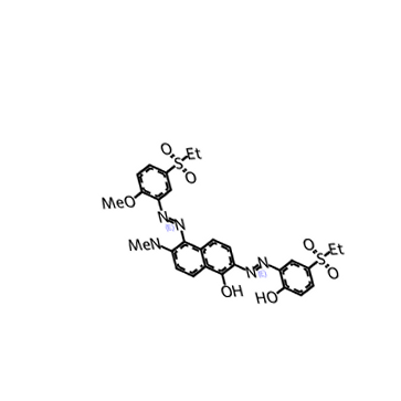 CCS(=O)(=O)c1ccc(O)c(/N=N/c2ccc3c(/N=N/c4cc(S(=O)(=O)CC)ccc4OC)c(NC)ccc3c2O)c1